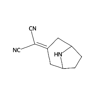 N#CC(C#N)=C1CC2CCC(C1)N2